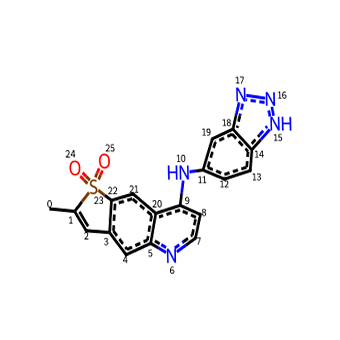 CC1=Cc2cc3nccc(Nc4ccc5[nH]nnc5c4)c3cc2S1(=O)=O